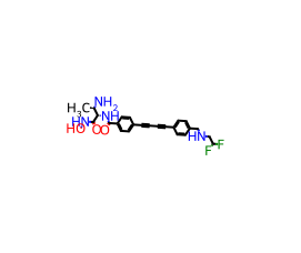 C[C@@H](N)[C@H](NC(=O)c1ccc(C#CC#Cc2ccc(CNCC(F)F)cc2)cc1)C(=O)NO